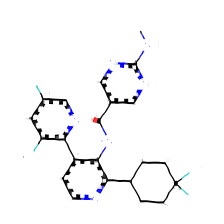 CC(C)Nc1ncc(C(=O)Nc2c(-c3ncc(F)cc3F)ccnc2C2CCC(F)(F)CC2)cn1